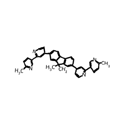 Cc1ccc(-c2cc(-c3ccc4c(c3)C(C)(C)c3cc(-c5ccnc(-c6ccc(C)nc6)c5)ccc3-4)ccn2)cn1